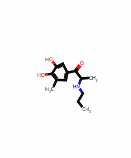 CCCNC(C)C(=O)c1cc(C)c(O)c(O)c1